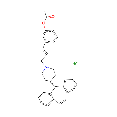 CC(=O)Oc1cccc(C=CCN2CCC(=C3c4ccccc4C=Cc4ccccc43)CC2)c1.Cl